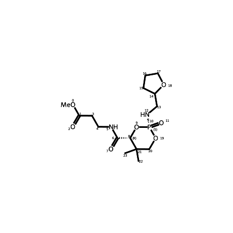 COC(=O)CCNC(=O)[C@@H]1O[P@](=O)(NCC2CCCO2)OCC1(C)C